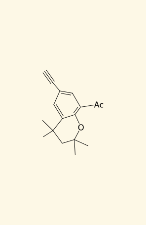 C#Cc1cc(C(C)=O)c2c(c1)C(C)(C)CC(C)(C)O2